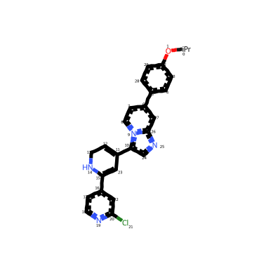 CC(C)Oc1ccc(-c2ccn3c(C4=CCNC(c5ccnc(Cl)c5)=C4)cnc3c2)cc1